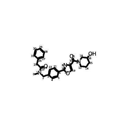 CN(Cc1ccc(-c2nc(C(=O)N3CCCC(O)C3)co2)cc1)C(=O)Cc1ccccc1